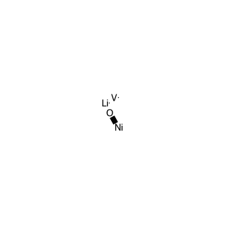 [Li].[O]=[Ni].[V]